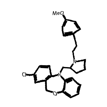 COc1ccc(CCN2CCCC2CN2c3ccc(Cl)cc3COc3ccccc32)cc1